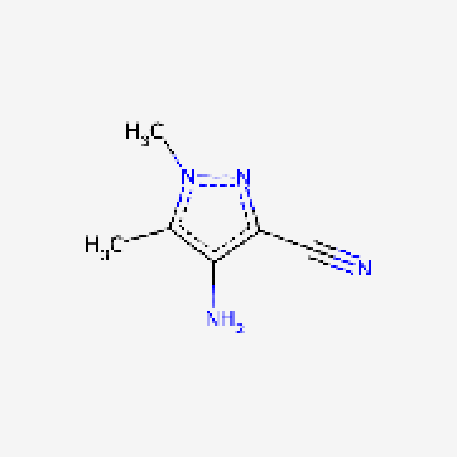 Cc1c(N)c(C#N)nn1C